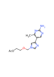 CC(=O)OCCOCn1cnc(-c2cnc(N)nc2C)c1